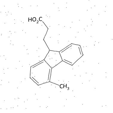 Cc1cccc2c1-c1ccccc1C2CCC(=O)O